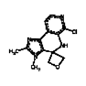 Cc1nc2c(n1C)C1(COC1)Nc1c-2ccnc1Cl